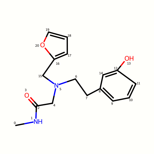 CNC(=O)CN(CCc1cccc(O)c1)Cc1ccco1